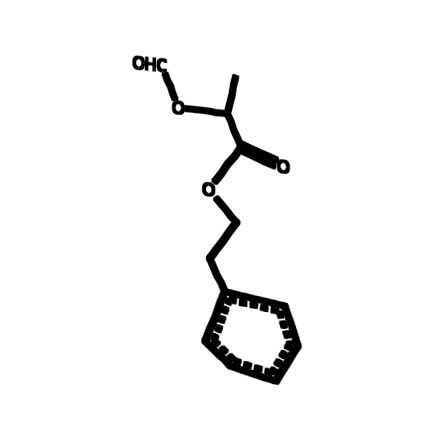 CC(OC=O)C(=O)OCCc1ccccc1